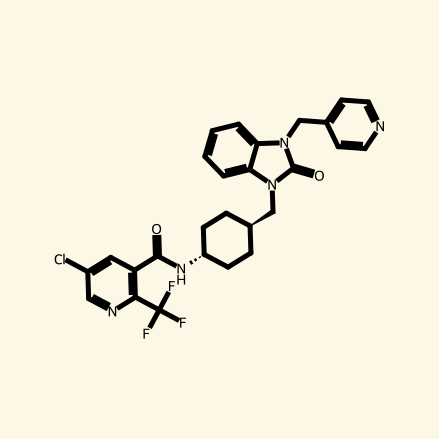 O=C(N[C@H]1CC[C@H](Cn2c(=O)n(Cc3ccncc3)c3ccccc32)CC1)c1cc(Cl)cnc1C(F)(F)F